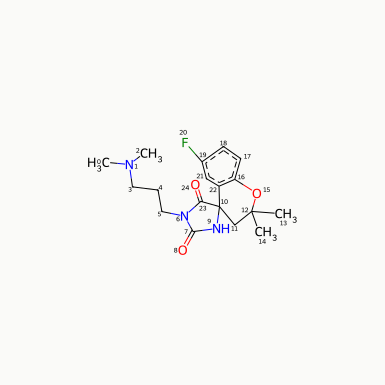 CN(C)CCCN1C(=O)NC2(CC(C)(C)Oc3ccc(F)cc32)C1=O